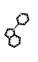 [c]1ncccc1-n1ccc2ccccc21